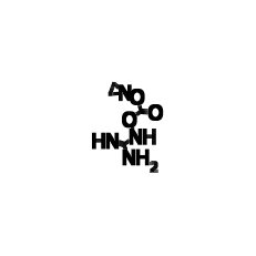 N=C(N)NOC(=O)ON1CC1